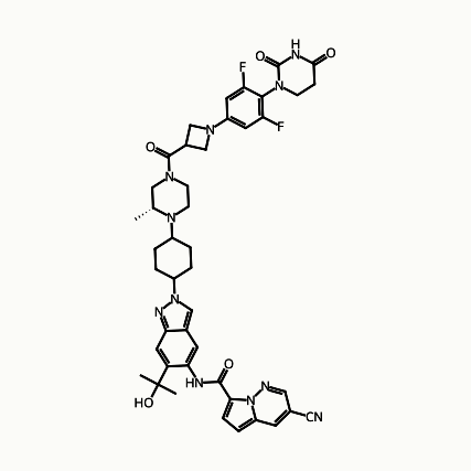 C[C@@H]1CN(C(=O)C2CN(c3cc(F)c(N4CCC(=O)NC4=O)c(F)c3)C2)CCN1C1CCC(n2cc3cc(NC(=O)c4ccc5cc(C#N)cnn45)c(C(C)(C)O)cc3n2)CC1